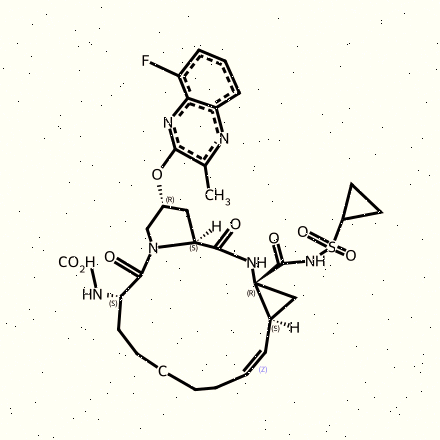 Cc1nc2cccc(F)c2nc1O[C@@H]1C[C@H]2C(=O)N[C@]3(C(=O)NS(=O)(=O)C4CC4)C[C@H]3/C=C\CCCCC[C@H](NC(=O)O)C(=O)N2C1